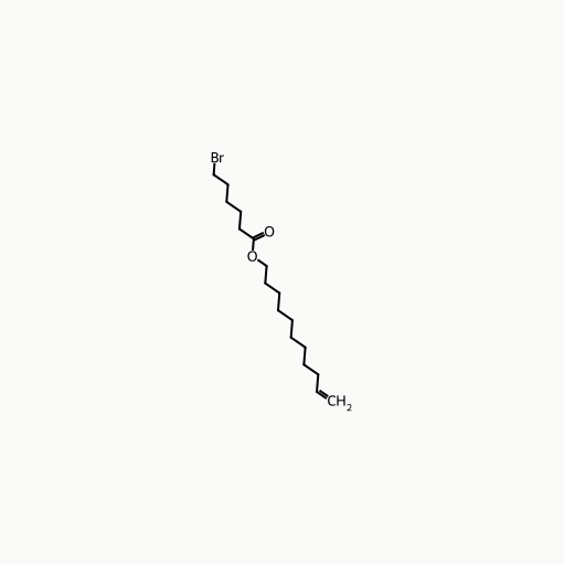 C=CCCCCCCCCCOC(=O)CCCCCBr